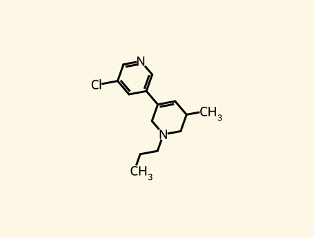 CCCN1CC(c2cncc(Cl)c2)=CC(C)C1